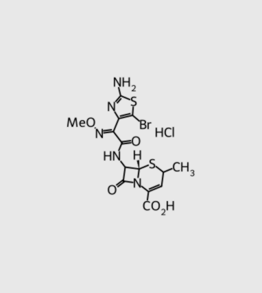 CON=C(C(=O)NC1C(=O)N2C(C(=O)O)=CC(C)S[C@@H]12)c1nc(N)sc1Br.Cl